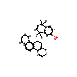 C1=CC2=C(CC1)CCc1c2ccc2ccccc12.CC1(C)C=CC(C)(C)c2cc(O)ccc21